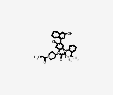 C=CC(=O)N1CCC(n2c(=O)c(=O)n(-c3ccccc3C(C)C)c3cc(-c4cc(O)cc5ccccc45)c(Cl)cc32)CC1